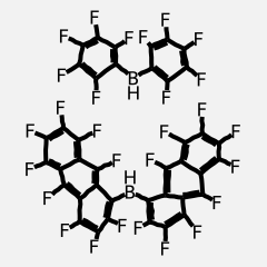 Fc1c(F)c(F)c(Bc2c(F)c(F)c(F)c(F)c2F)c(F)c1F.Fc1c(F)c(F)c2c(F)c3c(Bc4c(F)c(F)c(F)c5c(F)c6c(F)c(F)c(F)c(F)c6c(F)c45)c(F)c(F)c(F)c3c(F)c2c1F